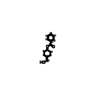 O=C(ON1CCC(=NO)CC1)c1ccccc1